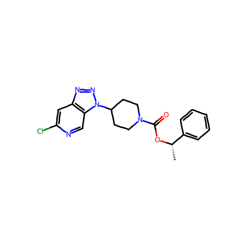 C[C@H](OC(=O)N1CCC(n2nnc3cc(Cl)ncc32)CC1)c1ccccc1